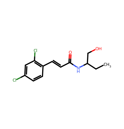 CCC(CO)NC(=O)/C=C/c1ccc(Cl)cc1Cl